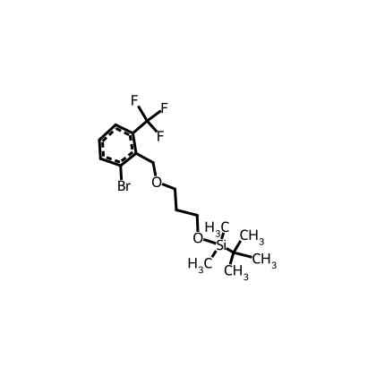 CC(C)(C)[Si](C)(C)OCCCOCc1c(Br)cccc1C(F)(F)F